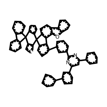 c1ccc(-c2cccc(-c3cc(-c4ccccc4)nc(-c4cccc(-c5cccc6c5-c5c(ccc7c5oc5ccccc57)C65c6ccccc6C6(c7ccccc7-c7ccccc76)c6ccccc65)c4)n3)c2)cc1